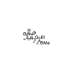 CC[C@H](OC(C)n1cc(C)c(=O)[nH]c1=O)C(C)OC